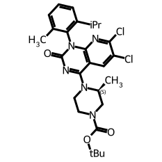 Cc1cccc(C(C)C)c1-n1c(=O)nc(N2CCN(C(=O)OC(C)(C)C)C[C@@H]2C)c2cc(Cl)c(Cl)nc21